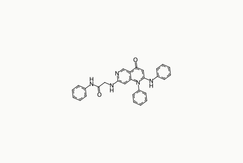 O=C(CNc1cc2c(cn1)c(=O)cc(Nc1ccccc1)n2-c1ccccc1)Nc1ccccc1